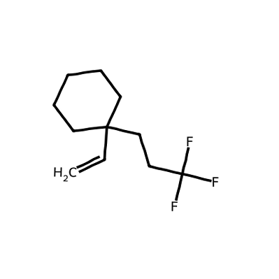 C=CC1(CCC(F)(F)F)CCCCC1